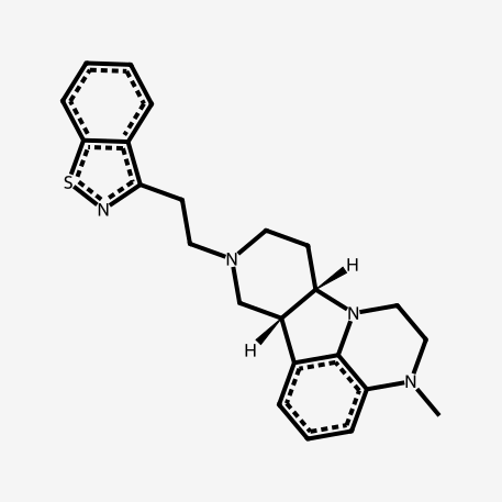 CN1CCN2c3c(cccc31)[C@@H]1CN(CCc3nsc4ccccc34)CC[C@@H]12